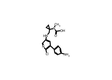 CN(C(=O)O)C1(CNc2cnc(Cl)c(-c3ccc(N)cc3)c2)CC1